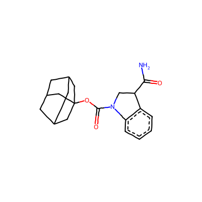 NC(=O)C1CN(C(=O)OC23CC4CC(CC(C4)C2)C3)c2ccccc21